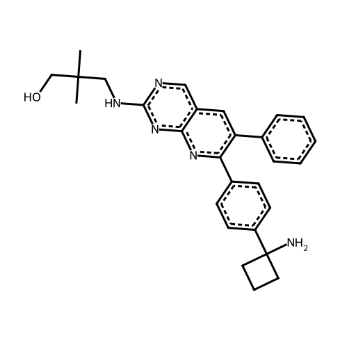 CC(C)(CO)CNc1ncc2cc(-c3ccccc3)c(-c3ccc(C4(N)CCC4)cc3)nc2n1